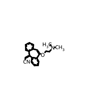 CN(C)CCOC1=Cc2ccccc2/C(=C/C#N)c2ccccc21